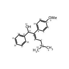 COc1ccc(/C(=C\CN(C)C)C(O)c2ccccc2)cc1